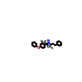 CC(C)(NCCCc1ccccc1)c1ccc(Oc2ccccc2)cc1